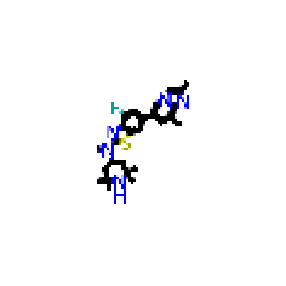 Cc1cn2cc(-c3cc(F)c4nc(N(C)C5CC(C)(C)NC(C)(C)C5)sc4c3)cc(C)c2n1